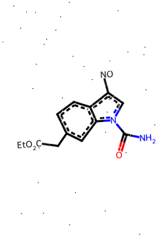 CCOC(=O)Cc1ccc2c(N=O)cn(C(N)=O)c2c1